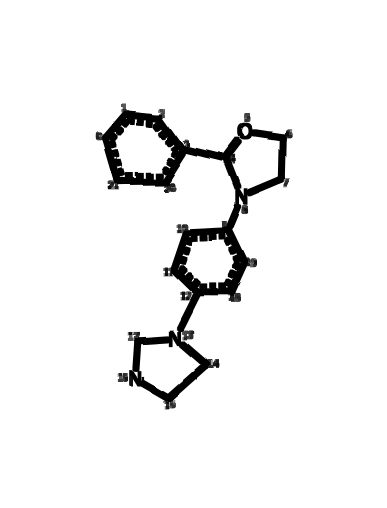 c1ccc(C2OCCN2c2ccc(N3CC[N]C3)cc2)cc1